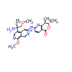 COCC(C)(N)c1cnc(OC)c2cnc(Nc3ccc4c(n3)[C@@H](C)[C@H](C)OC4=O)cc12